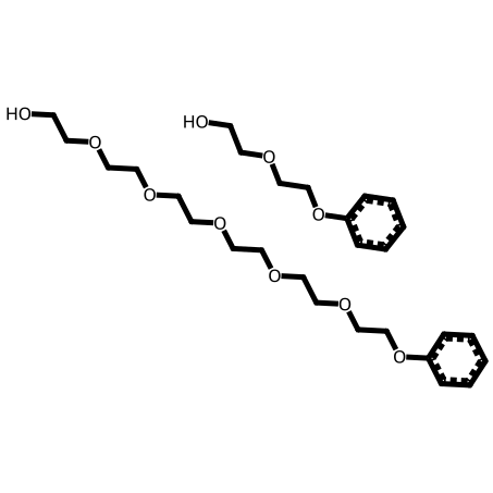 OCCOCCOCCOCCOCCOCCOc1ccccc1.OCCOCCOc1ccccc1